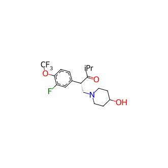 CC(C)C(=O)[C@H](CN1CCC(O)CC1)c1ccc(OC(F)(F)F)c(F)c1